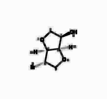 O[C@@H]1CO[C@H]2[C@@H]1OC[C@@H]2Br